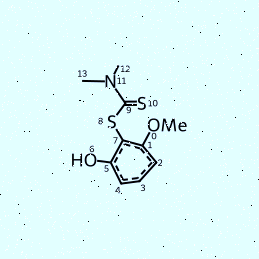 COc1cccc(O)c1SC(=S)N(C)C